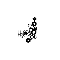 CC(C)(C)OC(=O)N1CCc2c3c(nn2-c2ccc(C4CCC4)cc2Cl)CCN(C(=O)OCc2ccccc2)CC31